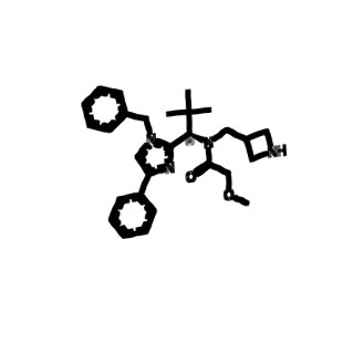 COCC(=O)N(CC1CNC1)[C@@H](c1nc(-c2ccccc2)cn1Cc1ccccc1)C(C)(C)C